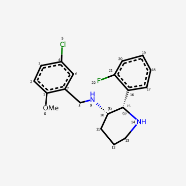 COc1ccc(Cl)cc1CN[C@H]1CCCN[C@H]1c1ccccc1F